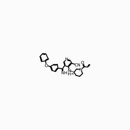 C=CC(=O)N1CCC[C@@H](Nc2c(C#N)cncc2C(=N)c2ccc(Oc3ccccc3)cc2)C1